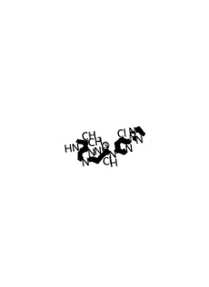 CC1(C)CNC2=C1N1NC(Cl)(C(=O)Nc3cnc(-n4nccn4)c(Cl)c3)C=C1N=C2